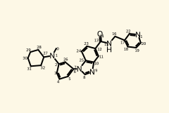 CN(c1cccc(-n2cnc3cc(C(=O)NCc4cccnc4)ccc32)c1)C1CCCCC1